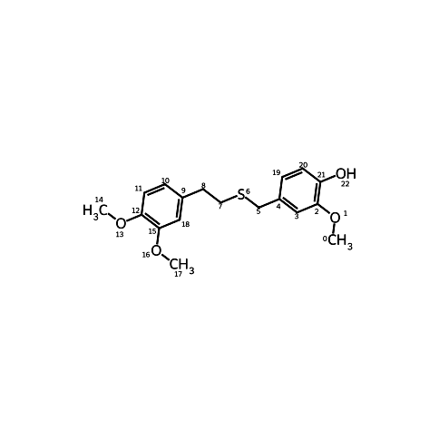 COc1cc(CSCCc2ccc(OC)c(OC)c2)ccc1O